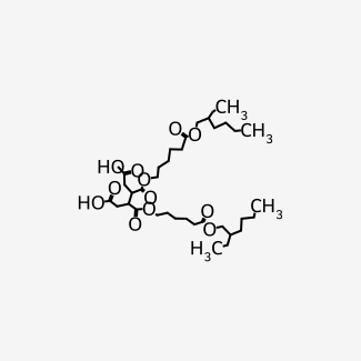 CCCCC(CC)COC(=O)CCCCCOC(=O)C(CC(=O)O)C(CC(=O)O)C(=O)OCCCCCC(=O)OCC(CC)CCCC